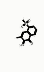 CC1=Cc2c(cccc2S(C)(=O)=O)C(=O)C1=N